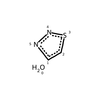 O.c1csnn1